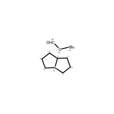 C1CC2CCCN2C1.CC(C)(C)OC=O